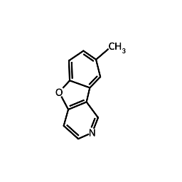 Cc1ccc2oc3ccncc3c2c1